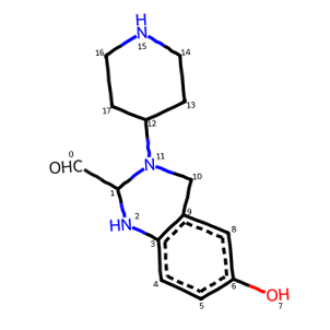 O=CC1Nc2ccc(O)cc2CN1C1CCNCC1